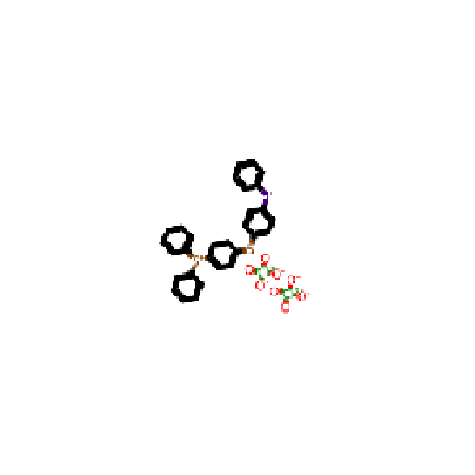 [O-][Cl+3]([O-])([O-])[O-].[O-][Cl+3]([O-])([O-])[O-].c1ccc([I+]c2ccc(Sc3ccc([S+](c4ccccc4)c4ccccc4)cc3)cc2)cc1